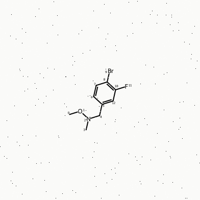 CON(C)Cc1ccc(Br)c(F)c1